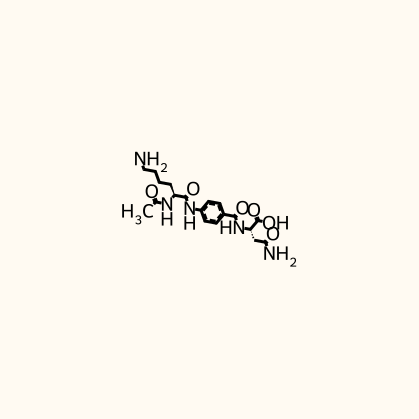 CC(=O)N[C@@H](CCCCN)C(=O)Nc1ccc(C(=O)N[C@@H](CC(N)=O)C(=O)O)cc1